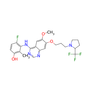 COc1cc2c(Nc3c(F)ccc(O)c3C)ncnc2cc1OCCCN1CCCC1C(F)(F)F